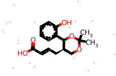 CC1(C)OC[C@@H](C/C=C/C(=O)O)C(c2ccccc2O)O1